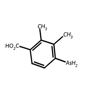 Cc1c([AsH2])ccc(C(=O)O)c1C